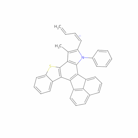 C=C/C=C\c1c(C)c2c3sc4ccccc4c3c3c(c2n1-c1ccccc1)-c1cccc2cccc-3c12